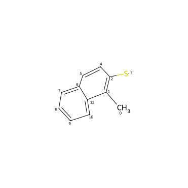 Cc1c([S])ccc2ccccc12